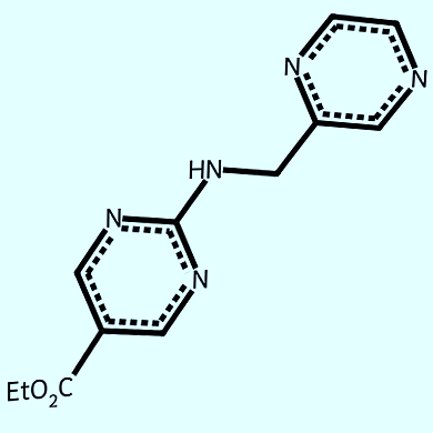 CCOC(=O)c1cnc(NCc2cnccn2)nc1